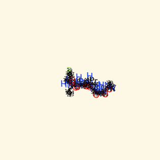 CC(C)C[C@H](NC(=O)[C@H](CCC1CCCCC1)NC(=O)[C@@H]1CCCN1C(=O)c1ccc(F)cc1)C(=O)NCC(C)(C)C(=O)N[C@@H](CC(C)C)C(=O)N[C@@H](CC(C)C)C(=O)NCC(C)(C)C(=O)NCC(C)(C)C(=O)NCCC(=O)NC1(CN(C)C)CCC1